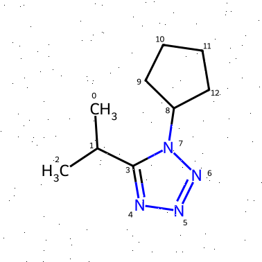 CC(C)c1nnnn1C1CCCC1